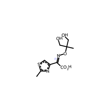 Cc1nc(/C(=N/OC(C)(CO)CO)C(=O)O)cs1